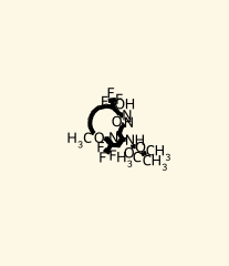 C[C@H]1CCCCC[C@](O)(C(F)(F)F)c2nnc(o2)-c2nc(c(C(F)(F)F)cc2NC(=O)OC(C)(C)C)O1